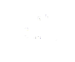 Cc1nc2c(NCc3ccccc3Br)cc(-n3cccn3)cn2c1C